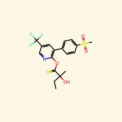 CCC(C)(O)C(=S)Oc1ncc(C(F)(F)F)cc1-c1ccc(S(C)(=O)=O)cc1